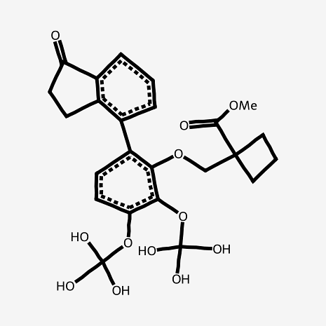 COC(=O)C1(COc2c(-c3cccc4c3CCC4=O)ccc(OC(O)(O)O)c2OC(O)(O)O)CCC1